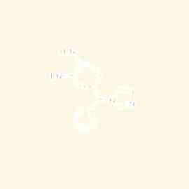 Nc1ccc(C(c2cccs2)n2ccnc2)cc1N